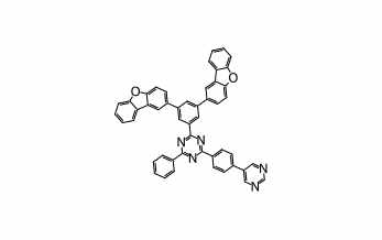 c1ccc(-c2nc(-c3ccc(-c4cncnc4)cc3)nc(-c3cc(-c4ccc5oc6ccccc6c5c4)cc(-c4ccc5oc6ccccc6c5c4)c3)n2)cc1